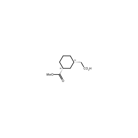 COC(=O)[C@@H]1CCC[C@H](CC(=O)O)C1